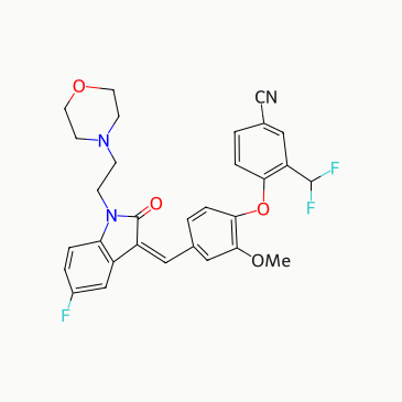 COc1cc(C=C2C(=O)N(CCN3CCOCC3)c3ccc(F)cc32)ccc1Oc1ccc(C#N)cc1C(F)F